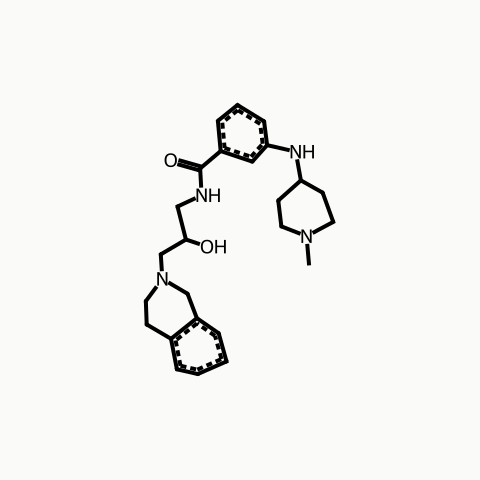 CN1CCC(Nc2cccc(C(=O)NCC(O)CN3CCc4ccccc4C3)c2)CC1